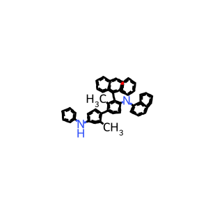 Cc1cc(Nc2ccccc2)ccc1-c1ccc(N(c2ccccc2)c2cccc3ccccc23)c(-c2cccc3ccccc23)c1C